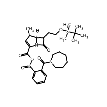 C[C@@H]1C=C(C(=O)OS(=O)c2ccccc2C(=O)N2CCCCCC2)N2C(=O)C(CCO[Si](C)(C)C(C)(C)C)[C@H]12